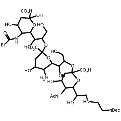 CCCCCCCCCCCCNCC(O)C1OC(OC(CO)C(O)C2OC(OC(CO)C(O)C3OC(O)(C(=O)O)CC(O)C3NC(=O)CC)(C(=O)O)CC(O)C2N)(C(=O)O)CC(O)C1NC(C)=O